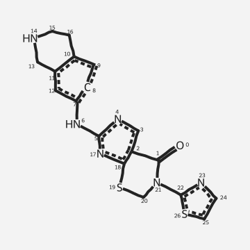 O=C1c2cnc(Nc3ccc4c(c3)CNCC4)nc2SCN1c1nccs1